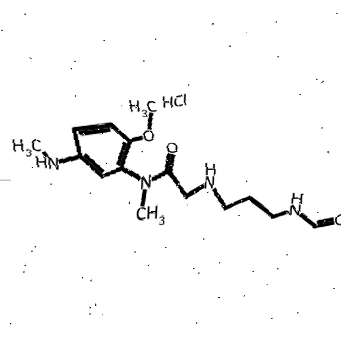 CNc1ccc(OC)c(N(C)C(=O)CNCCCNC=O)c1.Cl